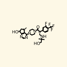 C[C@@H]1C[C@@H](O)c2ncnc(N3CCN(C(=O)[C@H](CNC(C)(C)CO)c4ccc(C(F)(F)F)c(F)c4)CC3)c21